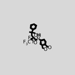 CC(C)(CC(O)(C(=O)Nc1ccc2c(c1)COC2=O)C(F)(F)C(F)(F)F)c1ccccc1